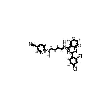 N#Cc1ccc(NCCCCNc2nc(-c3ccc(Cl)cc3Cl)nc3ccccc23)nc1